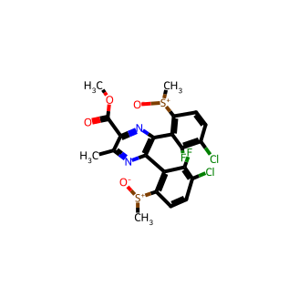 COC(=O)c1nc(-c2c([S+](C)[O-])ccc(Cl)c2F)c(-c2c([S+](C)[O-])ccc(Cl)c2F)nc1C